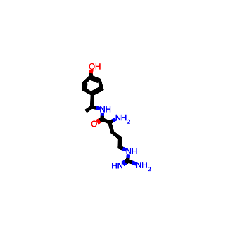 CC(NC(=O)C(N)CCCNC(=N)N)c1ccc(O)cc1